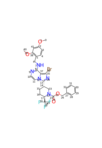 COc1ccc(CNc2nccn3c([C@H]4CC[C@H](C(F)(F)F)N(C(=O)OCc5ccccc5)C4)nc(Br)c23)c(OC)c1